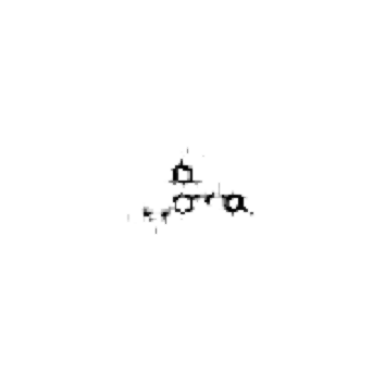 COc1cc(F)c([C@@H]2CN(C(=O)OC(C)(C)C)CCC2NC(=O)Nc2ccc(Br)cc2)c(F)c1